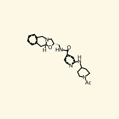 CC(=O)N1CCC(Nc2cc(C(=O)NC[C@H]3CN4Cc5ccccc5C[C@H]4O3)ccn2)CC1